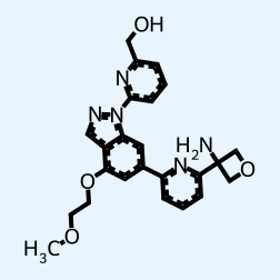 COCCOc1cc(-c2cccc(C3(N)COC3)n2)cc2c1cnn2-c1cccc(CO)n1